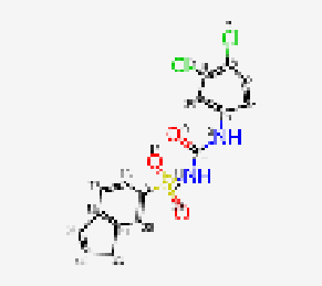 O=C(Nc1ccc(Cl)c(Cl)c1)NS(=O)(=O)c1ccc2c(c1)CC=C2